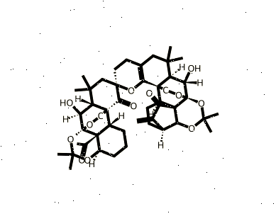 C=C1C(=O)C23C4OC(C)(C)O[C@]25OC[C@]2(C6=C(CC[C@]7(CC(C)(C)[C@H]8[C@H](O)[C@]9%10OC[C@]8(C7=O)[C@@H]7CCC[C@@H](OC(C)(C)O9)[C@@]7%10C(C)=O)O6)CC(C)(C)[C@H]2[C@@H]5O)[C@@H]3CC[C@@H]14